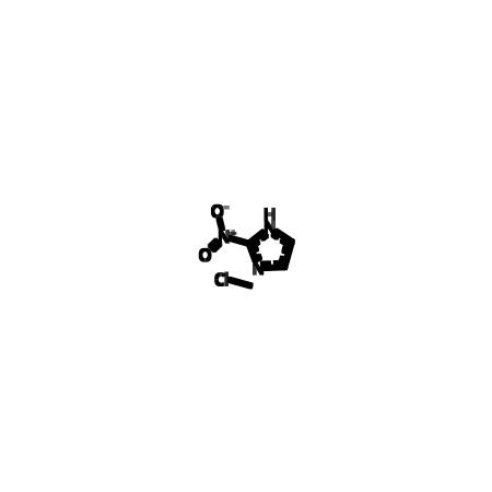 CCl.O=[N+]([O-])c1ncc[nH]1